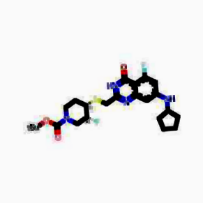 CC(C)(C)OC(=O)N1CC[C@H](SCc2nc3cc(NC4CCCC4)cc(F)c3c(=O)[nH]2)[C@H](F)C1